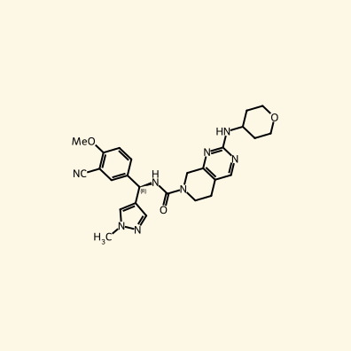 COc1ccc([C@@H](NC(=O)N2CCc3cnc(NC4CCOCC4)nc3C2)c2cnn(C)c2)cc1C#N